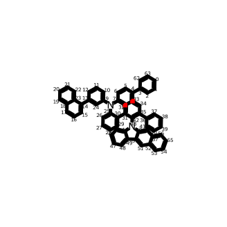 c1ccc(-c2ccc(N(c3cccc(-c4cccc5ccccc45)c3)c3ccccc3-c3cccc(-c4ccccc4)c3-n3c4ccccc4c4cc5ccccc5cc43)cc2)cc1